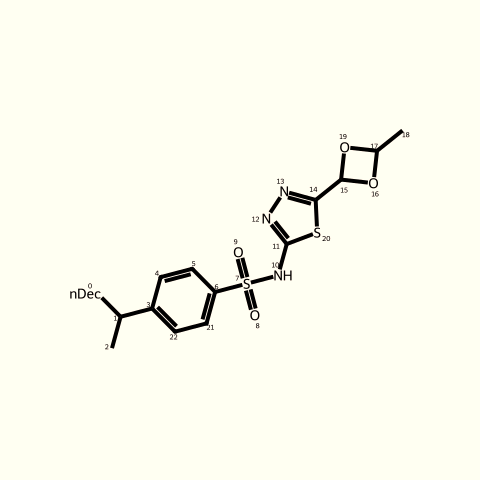 CCCCCCCCCCC(C)c1ccc(S(=O)(=O)Nc2nnc(C3OC(C)O3)s2)cc1